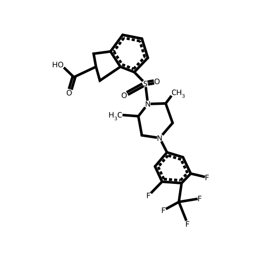 CC1CN(c2cc(F)c(C(F)(F)F)c(F)c2)CC(C)N1S(=O)(=O)c1cccc2c1CC(C(=O)O)C2